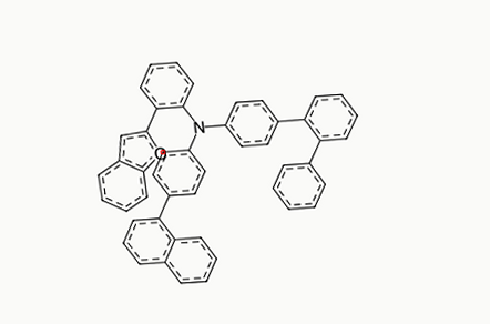 c1ccc(-c2ccccc2-c2ccc(N(c3ccc(-c4cccc5ccccc45)cc3)c3ccccc3-c3cc4ccccc4o3)cc2)cc1